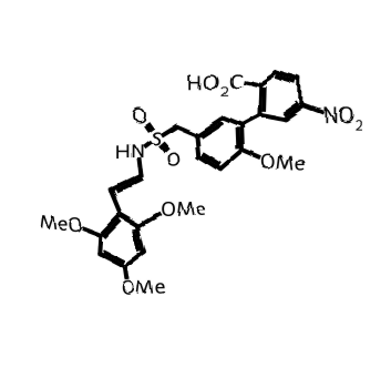 COc1cc(OC)c(C=CNS(=O)(=O)Cc2ccc(OC)c(-c3cc([N+](=O)[O-])ccc3C(=O)O)c2)c(OC)c1